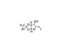 CC(C)C1(C)O[C@H]2O[C@H](CI)[C@H](O)[C@H]2O1